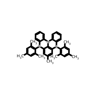 Cc1cc(C)c(B2c3ccccc3N3c4ccccc4B(c4c(C)cc(C)cc4C)c4cc(C)cc2c43)c(C)c1